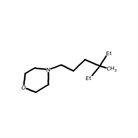 CCC(C)(CC)CCCN1CCOCC1